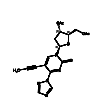 CC#Cc1cn([C@H]2C[C@H](OC(C)=O)[C@@H](COC(C)=O)O2)c(=O)nc1-n1cncn1